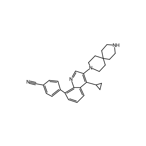 N#Cc1ccc(-c2cccc3c(C4CC4)c(N4CCC5(CCNCC5)CC4)cnc23)cc1